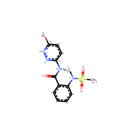 CN(c1ccccc1C(=O)Nc1ccc(Br)nn1)S(C)(=O)=O